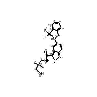 Cn1nc2ccc(OCc3cccnc3C(F)(F)F)cc2c1C(=O)NCC(C)(C)CO